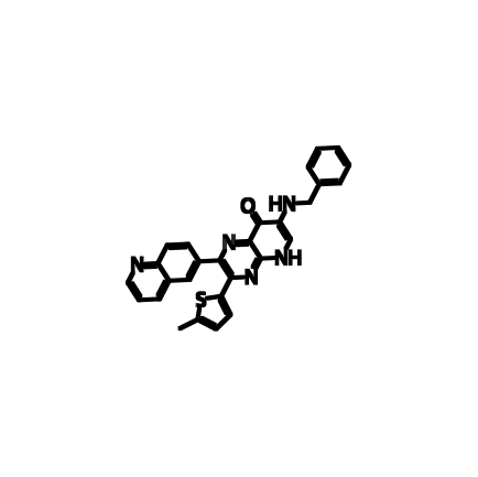 Cc1ccc(-c2nc3[nH]cc(NCc4ccccc4)c(=O)c3nc2-c2ccc3ncccc3c2)s1